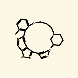 Fc1cccc2c1-c1cc3c(n[nH]c3cn1)-c1cnn(c1)C1CCCN(CCCO2)C1